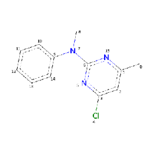 Cc1cc(Cl)nc(N(C)c2ccccc2)n1